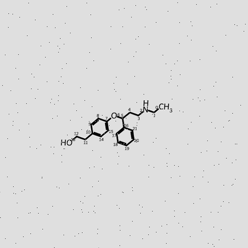 CCNCCC(Oc1ccc(CCO)cc1)c1ccccc1